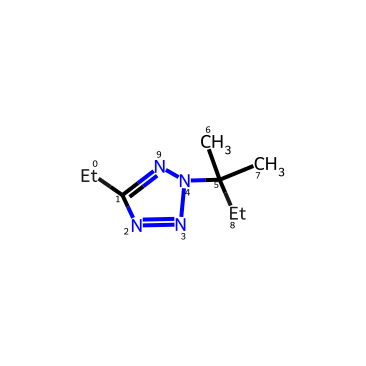 CCc1nnn(C(C)(C)CC)n1